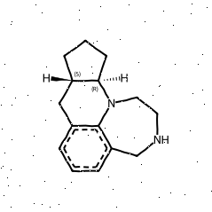 c1cc2c3c(c1)C[C@@H]1CCC[C@H]1N3CCNC2